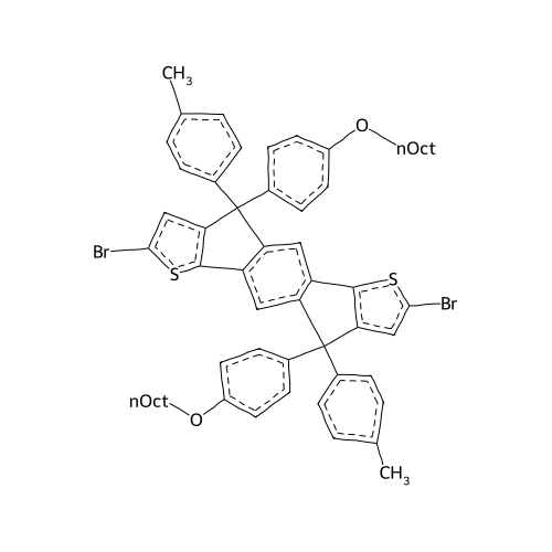 CCCCCCCCOc1ccc(C2(c3ccc(C)cc3)c3cc4c(cc3-c3sc(Br)cc32)C(c2ccc(C)cc2)(c2ccc(OCCCCCCCC)cc2)c2cc(Br)sc2-4)cc1